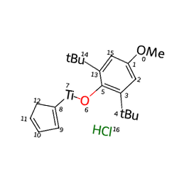 COc1cc(C(C)(C)C)c([O][Ti][C]2=CC=CC2)c(C(C)(C)C)c1.Cl